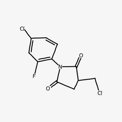 O=C1CC(CCl)C(=O)N1c1ccc(Cl)cc1F